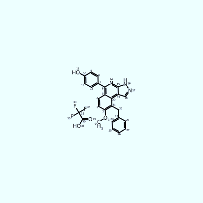 COc1ccc2c(-c3ccc(O)cc3)nc3[nH]ncc3c2c1Cc1ccccc1.O=C(O)C(F)(F)F